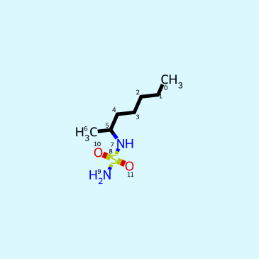 CCCCCC(C)NS(N)(=O)=O